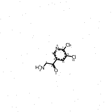 NCC(=O)c1cnc(Cl)c(Cl)c1